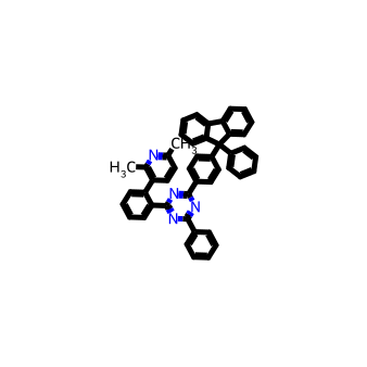 Cc1ccc(-c2ccccc2-c2nc(-c3ccccc3)nc(-c3ccc(C4(c5ccccc5)c5ccccc5-c5ccccc54)cc3)n2)c(C)n1